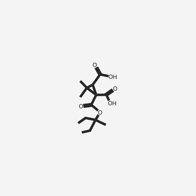 CCC(C)(CC)OC(=O)C1(C(=O)O)C(C(=O)O)C1(C)C